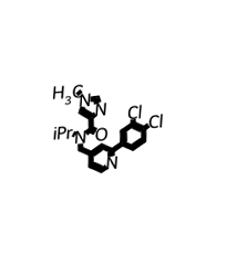 CC(C)N(Cc1ccnc(-c2ccc(Cl)c(Cl)c2)c1)C(=O)c1cn(C)cn1